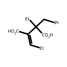 CCC=C(C(=O)O)C(CC)(CC(C)C)C(=O)O